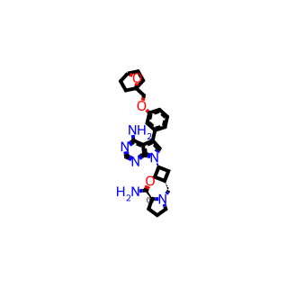 NC(=O)[C@@H]1CCCN1C[C@H]1C[C@@H](n2cc(-c3cccc(OCC45CCC(CC4)O5)c3)c3c(N)ncnc32)C1